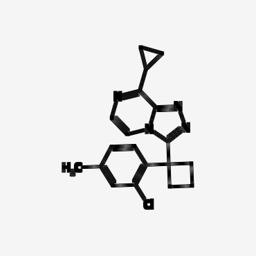 Cc1ccc(C2(c3nnc4c(C5CC5)nccn34)CCC2)c(Cl)c1